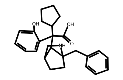 O=C(O)C(c1ccccc1O)(C1CCCC1)C1C2CCC1(Cc1ccccc1)NC2